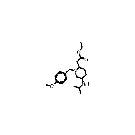 CCOC(=O)CC1CCC(NC(C)C)CN1Cc1ccc(OC)cc1